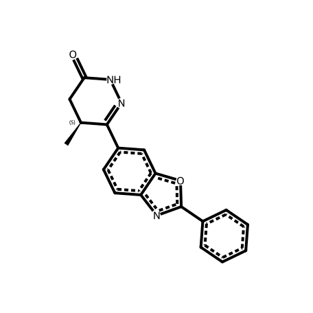 C[C@H]1CC(=O)NN=C1c1ccc2nc(-c3ccccc3)oc2c1